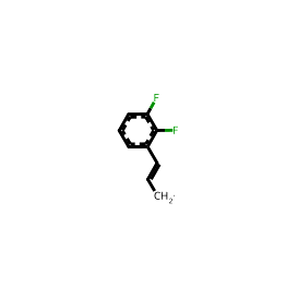 [CH2]C=Cc1cccc(F)c1F